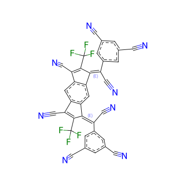 N#CC1=C(C(F)(F)F)/C(=C(/C#N)c2cc(C#N)cc(C#N)c2)c2cc3c(cc21)C(C#N)=C(C(F)(F)F)/C3=C(/C#N)c1cc(C#N)cc(C#N)c1